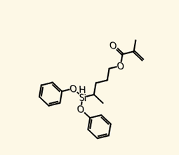 C=C(C)C(=O)OCCCC(C)[SiH](Oc1ccccc1)Oc1ccccc1